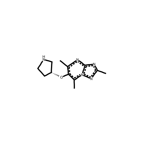 Cc1nc2nc(C)c(O[C@@H]3CCNC3)c(C)n2n1